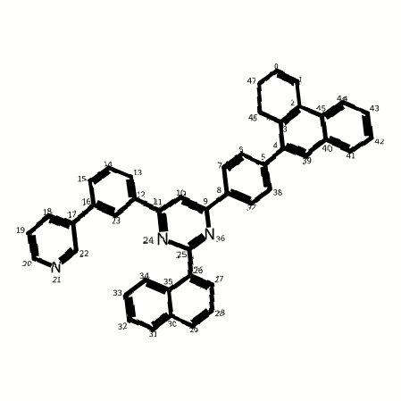 C1=Cc2c(c(-c3ccc(-c4cc(-c5cccc(-c6cccnc6)c5)nc(-c5cccc6ccccc56)n4)cc3)cc3ccccc23)CC1